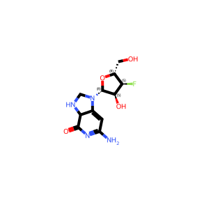 NC1=NC(=O)C2NCN([C@@H]3O[C@H](CO)[C@@H](F)[C@H]3O)C2=C1